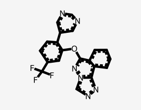 FC(F)(F)c1ccc(-c2cncnc2)c(Oc2nn3cnnc3c3ccccc23)c1